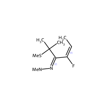 C/C=C(F)\C(=N\NC)C(C)(C)SC